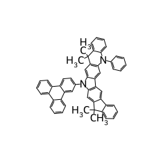 CC1(C)c2ccccc2-c2cc3c4cc5c(cc4n(-c4ccc6c7ccccc7c7ccccc7c6c4)c3cc21)C(C)(C)c1ccccc1N5c1ccccc1